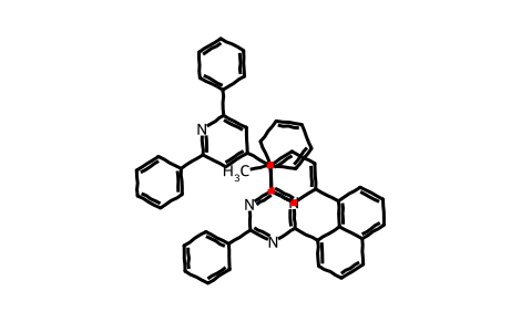 CC1(c2nc(-c3ccccc3)nc(-c3cccc4cccc(-c5ccc(-c6cc(-c7ccccc7)nc(-c7ccccc7)c6)cc5)c34)n2)C=CC=CC1